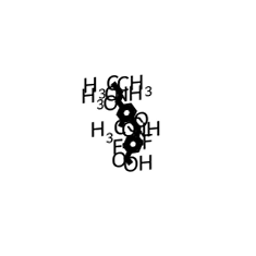 Cc1cc(C(=O)NC(C)(C)C)ccc1S(=O)(=O)Nc1cc(F)c(C(=O)O)cc1F